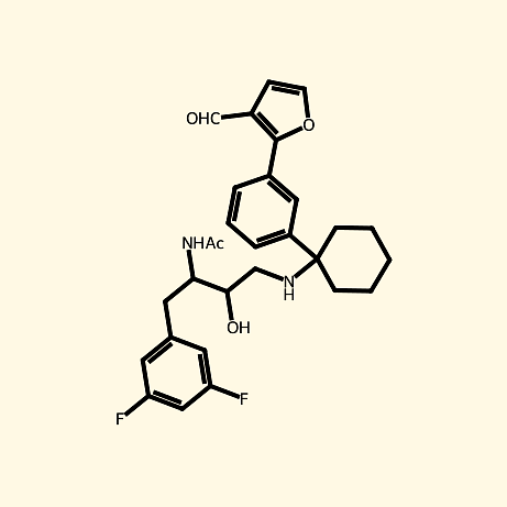 CC(=O)NC(Cc1cc(F)cc(F)c1)C(O)CNC1(c2cccc(-c3occc3C=O)c2)CCCCC1